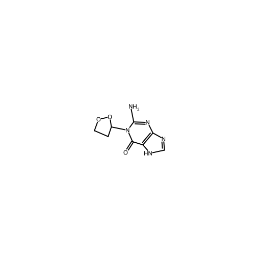 Nc1nc2nc[nH]c2c(=O)n1C1CCOO1